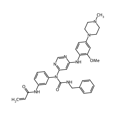 C=CC(=O)Nc1cccc(N(C(=O)NCc2ccccc2)c2cc(Nc3ccc(N4CCN(C)CC4)cc3OC)ncn2)c1